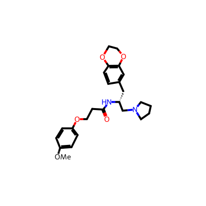 COc1ccc(OCCC(=O)N[C@H](Cc2ccc3c(c2)OCCO3)CN2CCCC2)cc1